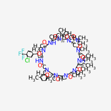 CC[C@H](C)[C@@H]1NC(=O)[C@H](CC(C)C)N(C)C(=O)C[C@@H](C(=O)N(C)C)N(C)C(=O)[C@H]([C@@H](C)CC)N(C)C(=O)[C@H](C)NC(=O)[C@H](C)N(C)C(=O)[C@H](CCc2ccc(C(F)(F)F)c(Cl)c2)NC(=O)CN(C)C(=O)[C@H](Cc2ccc(C)cc2)N(C)C(=O)[C@@H]2CCN2C(=O)[C@H](C)N(C)C1=O